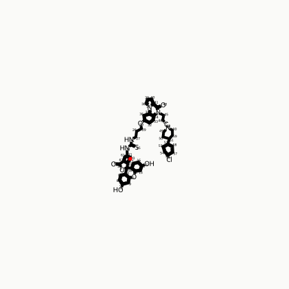 O=C1OC2(c3ccc(O)cc3Oc3cc(O)ccc32)c2ccc(NC(=S)NCCCOc3ccc4c(c3)n3cccc3c(=O)n4CCCN3CCC(c4ccc(Cl)cc4)CC3)cc21